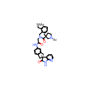 CNCc1ccccc1CN(CC(=O)Nc1ccc2c(c1)C[C@@]1(C2)C(=O)Nc2ncccc21)C(=O)C1(C)CCN(C(C)=O)C1